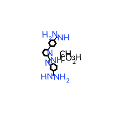 CC(=O)O.N=C(N)c1ccc(-c2cccc(-c3nc4cc(C(=N)N)ccc4[nH]3)n2)cc1